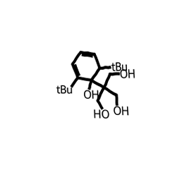 CC(C)(C)C1=CC=CC(C(C)(C)C)C1(O)C(CO)(CO)CO